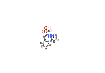 O=S(=O)(O)C=Cc1ccccc1.c1cc[nH]c1